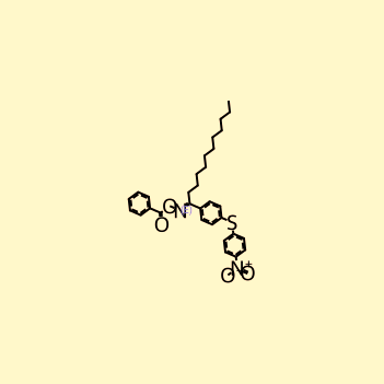 CCCCCCCCCCC/C(=N\OC(=O)c1ccccc1)c1ccc(Sc2ccc([N+](=O)[O-])cc2)cc1